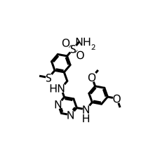 COc1cc(Nc2cc(NCc3cc(S(N)(=O)=O)ccc3SC)ncn2)cc(OC)c1